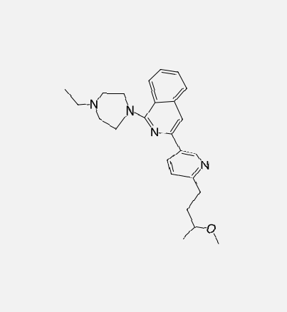 CCN1CCN(c2nc(-c3ccc(CCC(C)OC)nc3)cc3ccccc23)CC1